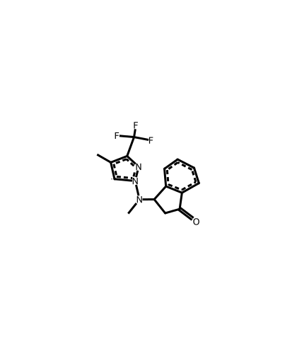 Cc1[c]n(N(C)C2CC(=O)c3ccccc32)nc1C(F)(F)F